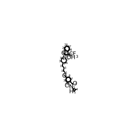 O=C(NC1CC1)c1ccc(OCCCCC2CCN(C(=O)C(O)(c3ccccc3)C(F)(F)F)CC2)cc1Cl